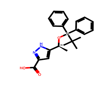 C[C@H](O[Si](c1ccccc1)(c1ccccc1)C(C)(C)C)c1cc(C(=O)O)n[nH]1